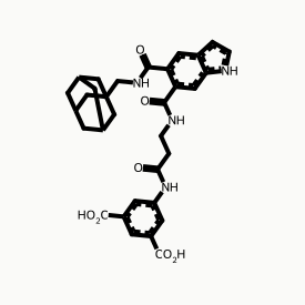 O=C(CCNC(=O)c1cc2[nH]ccc2cc1C(=O)NCC12CC3CC(CC(C3)C1)C2)Nc1cc(C(=O)O)cc(C(=O)O)c1